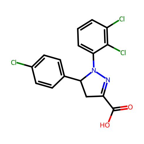 O=C(O)C1=NN(c2cccc(Cl)c2Cl)C(c2ccc(Cl)cc2)C1